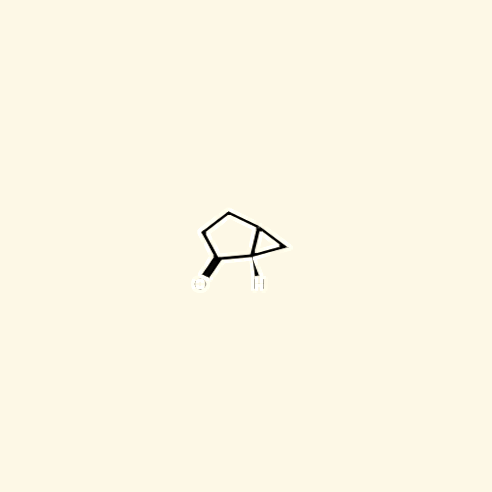 O=C1CCC2C[C@H]12